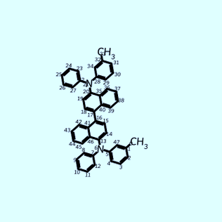 Cc1cccc(N(c2ccccc2)c2ccc(-c3ccc(N(c4ccccc4)c4cccc(C)c4)c4ccccc34)c3ccccc23)c1